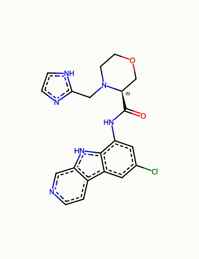 O=C(Nc1cc(Cl)cc2c1[nH]c1cnccc12)[C@@H]1COCCN1Cc1ncc[nH]1